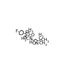 CC(C)(C)c1cc(NC(=O)C(C)(C)S(=O)(=O)c2ccc(F)cc2)on1